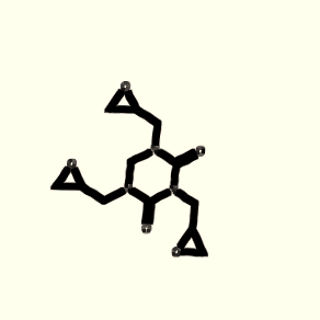 O=C1N(CC2CO2)CN(CC2CO2)C(=O)N1CC1CO1